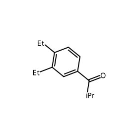 CCc1ccc(C(=O)C(C)C)cc1CC